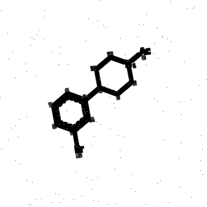 CC(=O)N1CCC(c2cccc(Br)c2)CC1